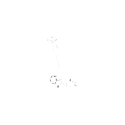 O=C1CCC(N2Cc3c(SCCCCCCCNC45CC6CC(CC(C6)C4)C5)cccc3C2=O)C(=O)N1